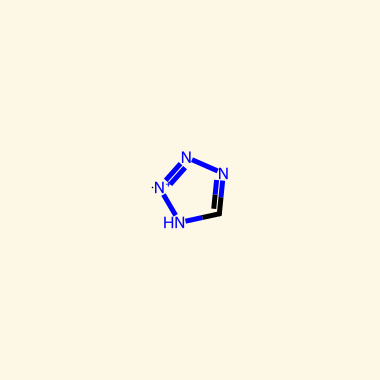 C1=NN=[N+]N1